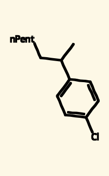 C[CH]CCCCC(C)c1ccc(Cl)cc1